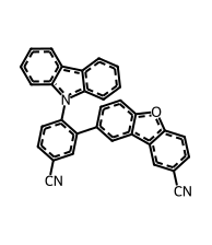 N#Cc1ccc(-n2c3ccccc3c3ccccc32)c(-c2ccc3oc4ccc(C#N)cc4c3c2)c1